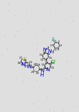 Fc1cccc(Cn2cnc3ccc(-c4cc(NC5CCC(NCc6nccs6)CC5)ncc4Cl)cc32)c1